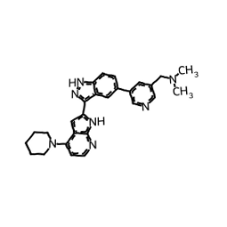 CN(C)Cc1cncc(-c2ccc3[nH]nc(-c4cc5c(N6CCCCC6)ccnc5[nH]4)c3c2)c1